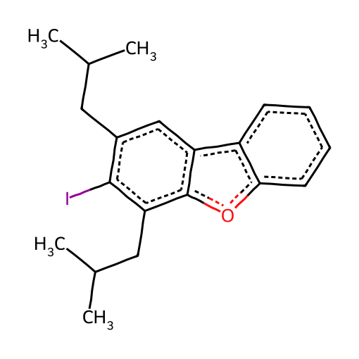 CC(C)Cc1cc2c(oc3ccccc32)c(CC(C)C)c1I